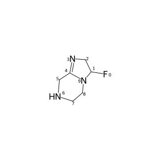 FC1CN=C2CNCCN21